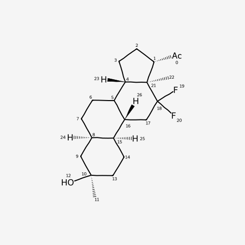 CC(=O)[C@H]1CC[C@H]2C3CC[C@@H]4C[C@](C)(O)CC[C@@H]4[C@H]3CC(F)(F)[C@]12C